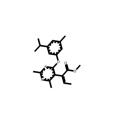 CC=C(C(=O)OC)c1c(C)nc(C)nc1Oc1cc(C)cc(C(C)C)c1